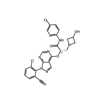 N#Cc1cccc(Cl)c1-n1ncc2c(O[C@@H](CN3CC(O)C3)C(=O)Nc3ccc(Cl)cn3)ncnc21